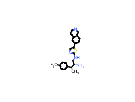 C[C@@H](c1ccc(C(F)(F)F)cc1)[C@@H](N)CNc1ncc(-c2ccc3cnccc3c2)s1